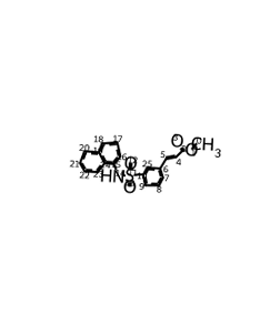 COC(=O)/C=C/c1cccc(S(=O)(=O)Nc2cccc3ccccc23)c1